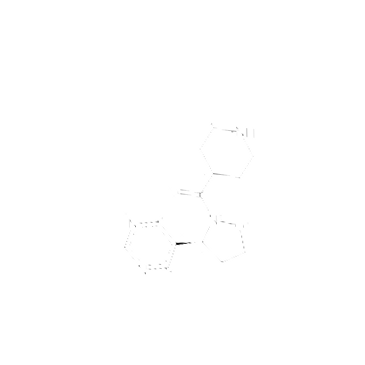 O=C(C1CCNCC1)N1OCC[C@H]1c1cncnc1